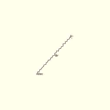 CCCCCCCCCCCCCCCCCCCCCCCCCCCCCCCCCCCCCCCCC[P+](C)(C)C.[Br-]